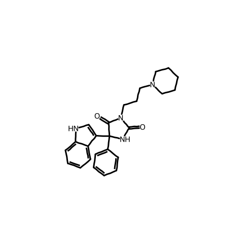 O=C1NC(c2ccccc2)(c2c[nH]c3ccccc23)C(=O)N1CCCN1CCCCC1